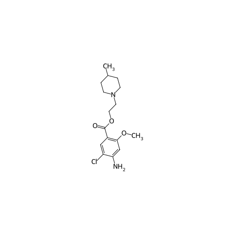 COc1cc(N)c(Cl)cc1C(=O)OCCN1CCC(C)CC1